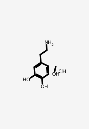 CO.Cl.NCCc1ccc(O)c(O)c1